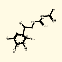 [2H]c1cc(C([2H])CNC(=N)NC(C)=N)c([2H])c([2H])c1[2H]